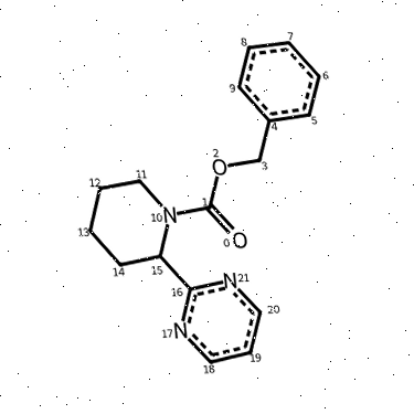 O=C(OCc1ccccc1)N1CCCCC1c1ncccn1